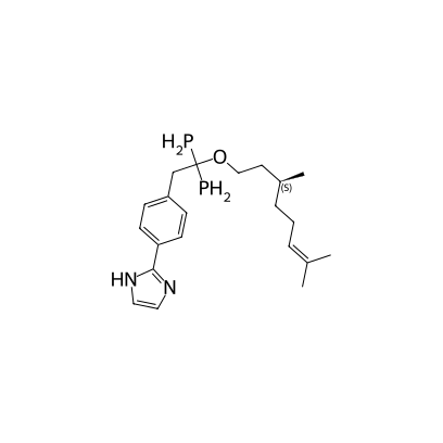 CC(C)=CCC[C@H](C)CCOC(P)(P)Cc1ccc(-c2ncc[nH]2)cc1